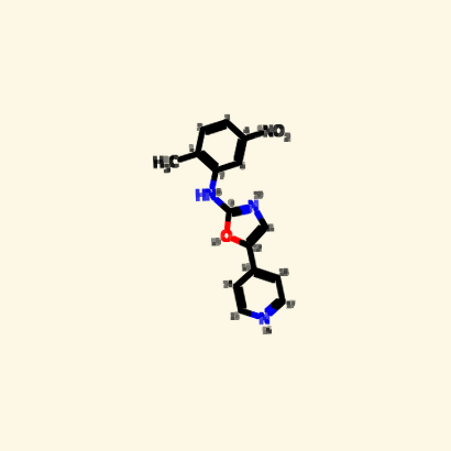 Cc1ccc([N+](=O)[O-])cc1Nc1ncc(-c2ccncc2)o1